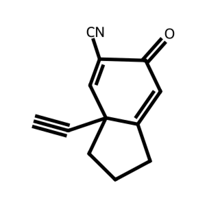 C#CC12C=C(C#N)C(=O)C=C1CCC2